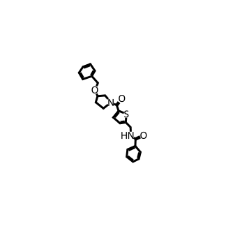 O=C(NCc1ccc(C(=O)N2CCC(OCc3ccccc3)C2)s1)c1ccccc1